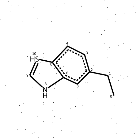 CCc1ccc2c(c1)NC=[SH]2